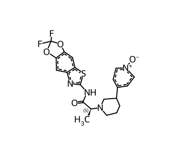 C[C@@H](C(=O)Nc1nc2cc3c(cc2s1)OC(F)(F)O3)N1CCCC(c2cc[n+]([O-])cc2)C1